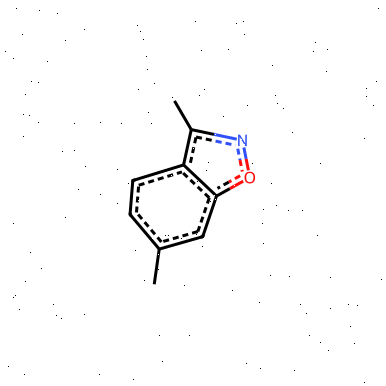 Cc1ccc2c(C)noc2c1